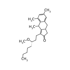 CCCCC[C@@H](CCC1=C2C(CC1=O)Cc1cc(C)cc(C)c1C2C)OC